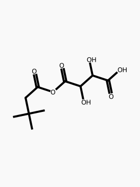 CC(C)(C)CC(=O)OC(=O)C(O)C(O)C(=O)O